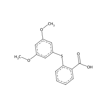 COc1cc(OC)cc(Sc2ccccc2C(=O)O)c1